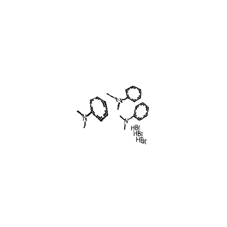 Br.Br.Br.CN(C)c1ccccc1.CN(C)c1ccccc1.CN(C)c1ccccc1